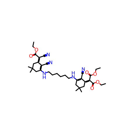 CCOC(=O)C(C(=O)OCC)=C1CC(C)(C)CC(NCCCCCCNC2=C(C#N)/C(=C(\C#N)C(=O)OCC)CC(C)(C)C2)=C1C#N